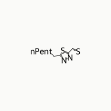 CCCCCCc1nnc(C=S)s1